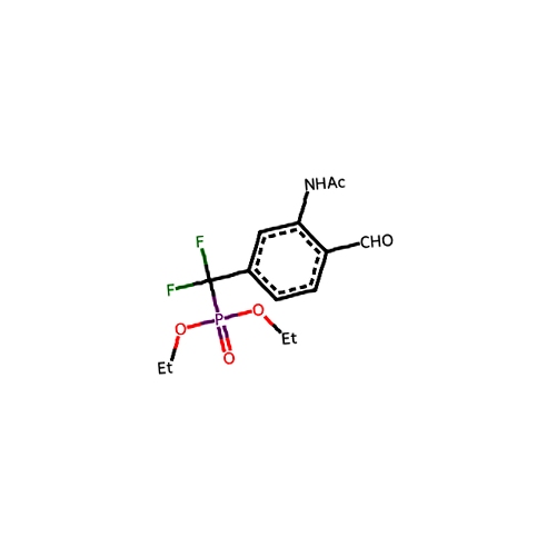 CCOP(=O)(OCC)C(F)(F)c1ccc(C=O)c(NC(C)=O)c1